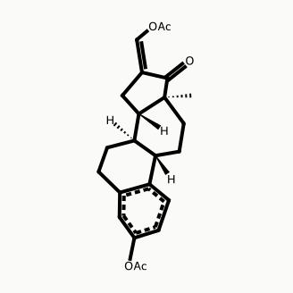 CC(=O)OC=C1C[C@H]2[C@@H]3CCc4cc(OC(C)=O)ccc4[C@H]3CC[C@]2(C)C1=O